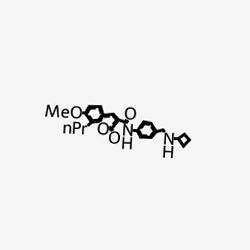 CCCc1c(OC)ccc2cc(C(=O)Nc3ccc(CNC4CCC4)cc3)c(=O)oc12